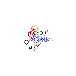 CC#CCn1c(N2CCNCC2)nc2c1c(=O)n(CC(=O)c1ccccc1)c(=O)n2C(C)C(=O)O.O=C(O)C(F)(F)F